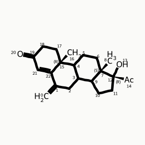 C=C1CC2C(CC[C@@]3(C)C2CC[C@]3(O)C(C)=O)[C@@]2(C)CCC(=O)C=C12